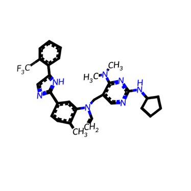 C=CN(Cc1cnc(NC2CCCC2)nc1N(C)C)c1cc(-c2ncc(-c3ccccc3C(F)(F)F)[nH]2)ccc1C